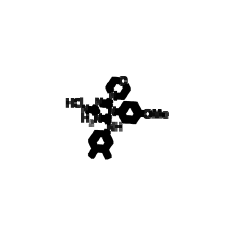 COc1ccc(N2C(N3CCOCC3)=NC(N)=NC2Nc2ccc(C)c(C)c2)cc1.Cl